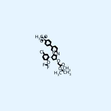 CC(C)(C)OC(=O)CO[C@@H]1C[C@H](c2cc(Cl)ccc2OC(F)F)c2c1nc1ccc(-c3ccc(S(C)(=O)=O)cc3)cn21